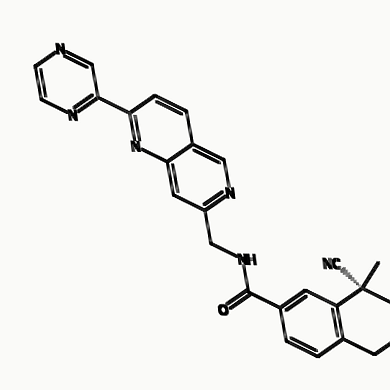 C[C@@]1(C#N)COCc2ccc(C(=O)NCc3cc4nc(-c5cnccn5)ccc4cn3)cc21